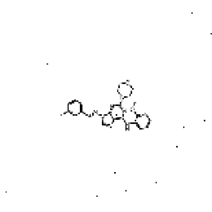 COc1ccccc1Nc1nc(N2CCOCC2)nc2c1ncn2N=Cc1cccc(C)c1